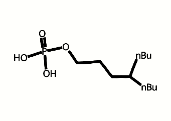 CCCCC(CCCC)CCCOP(=O)(O)O